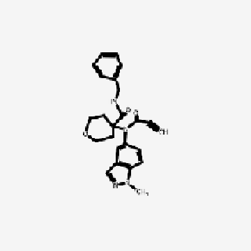 C#CC(=O)N(c1ccc2c(cnn2C)c1)C1(C(=O)NCc2ccccc2)CCOCC1